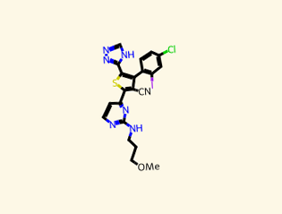 COCCCNc1nccc(-c2sc(-c3nnc[nH]3)c(-c3ccc(Cl)cc3I)c2C#N)n1